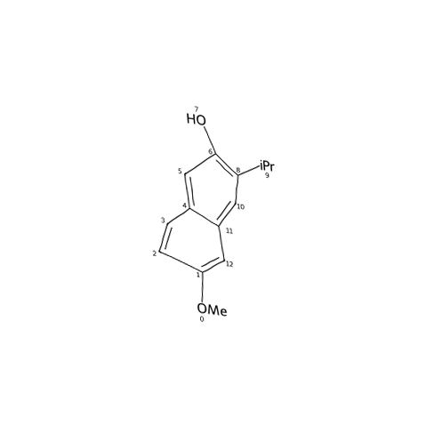 COc1ccc2cc(O)c(C(C)C)cc2c1